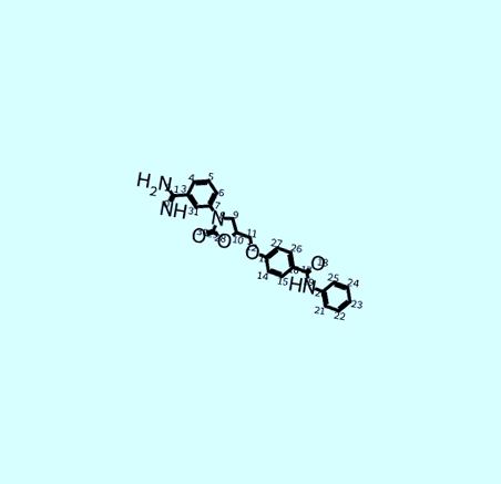 N=C(N)c1cccc(N2CC(COc3ccc(C(=O)Nc4ccccc4)cc3)OC2=O)c1